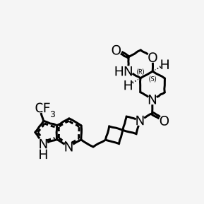 O=C1CO[C@H]2CCN(C(=O)N3CC4(CC(Cc5ccc6c(C(F)(F)F)c[nH]c6n5)C4)C3)C[C@H]2N1